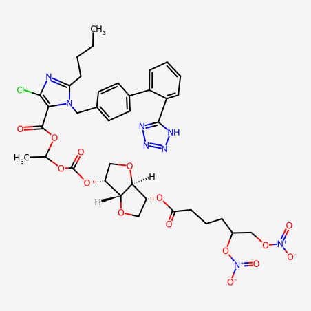 CCCCc1nc(Cl)c(C(=O)OC(C)OC(=O)O[C@@H]2CO[C@@H]3[C@@H]2OC[C@H]3OC(=O)CCCC(CO[N+](=O)[O-])O[N+](=O)[O-])n1Cc1ccc(-c2ccccc2-c2nnn[nH]2)cc1